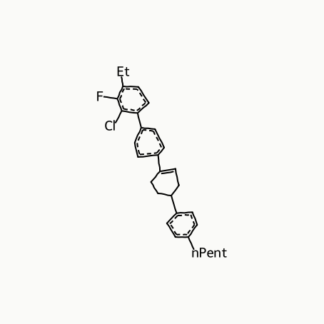 CCCCCc1ccc(C2CC=C(c3ccc(-c4ccc(CC)c(F)c4Cl)cc3)CC2)cc1